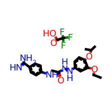 CCOc1cc(NNC(=O)CNc2ccc(C(=N)N)cc2)ccc1OC(C)C.O=C(O)C(F)(F)F